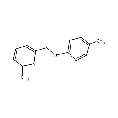 Cc1ccc(OCC2=CC=CC(C)N2)cc1